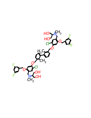 Cc1c(COc2cc(OCc3cc(F)cc(F)c3)c(CN(C)C(CO)CO)cc2Cl)cccc1-c1cccc(COc2cc(OCc3cc(F)cc(F)c3)c(CN(C)C(CO)CO)cc2Cl)c1C